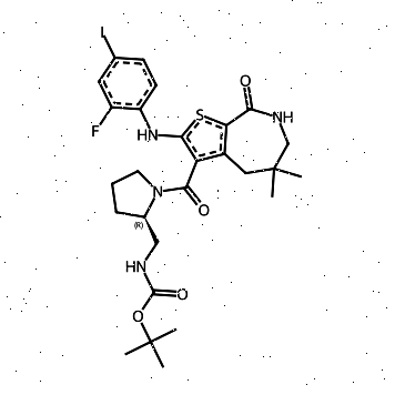 CC1(C)CNC(=O)c2sc(Nc3ccc(I)cc3F)c(C(=O)N3CCC[C@@H]3CNC(=O)OC(C)(C)C)c2C1